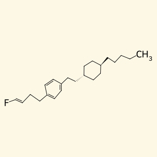 CCCCC[C@H]1CC[C@H](CCc2ccc(CC/C=C/F)cc2)CC1